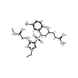 CCn1cc(S(=O)(=O)N2CC(CCC(=O)O)Oc3ccc(Br)cc32)c(OCC(=O)OC)n1